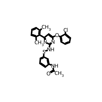 CC(=O)Nc1cccc(SNc2nc(Oc3ccccc3Cl)cc(-c3c(C)cccc3C)n2)c1